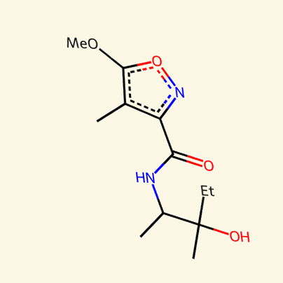 CCC(C)(O)C(C)NC(=O)c1noc(OC)c1C